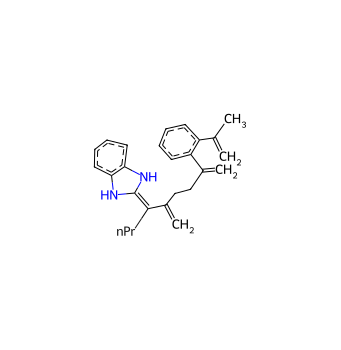 C=C(CCC(=C)c1ccccc1C(=C)C)C(CCC)=C1Nc2ccccc2N1